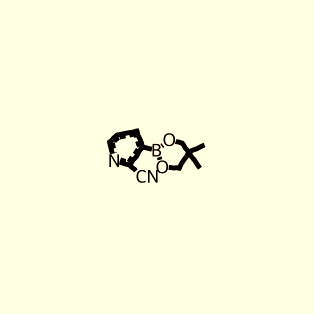 CC1(C)COB(c2cccnc2C#N)OC1